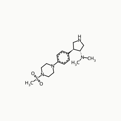 CN(C)[C@H]1CNC[C@@H]1c1ccc(N2CCN(S(C)(=O)=O)CC2)cc1